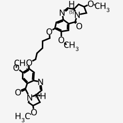 COc1cc2c(cc1OCCCCCOc1cc3c(cc1OC)C(=O)N1CC(OC)C[C@H]1C=N3)N=C[C@@H]1CC(OC)CN1C2=O